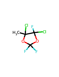 CC1(Cl)OC(F)(F)OC1(F)Cl